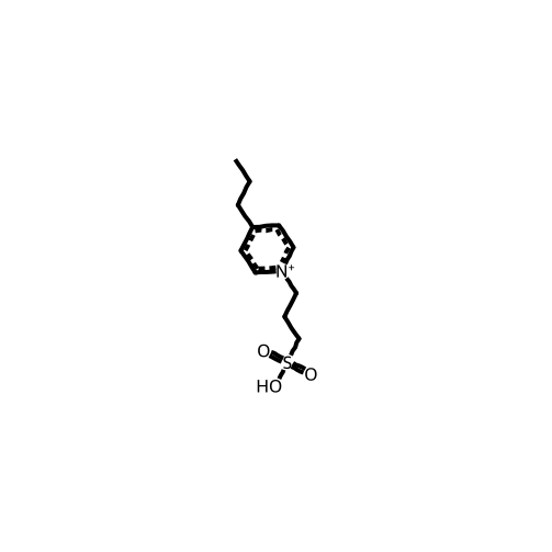 CCCc1cc[n+](CCCS(=O)(=O)O)cc1